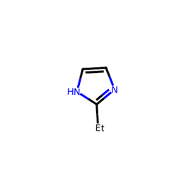 [CH2]Cc1ncc[nH]1